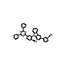 N#Cc1cccc(-c2ccc3c(c2)c2ccccc2n3-c2cc(-c3nc(-c4ccccc4)nc(-c4ccccc4)n3)ccc2C#N)c1